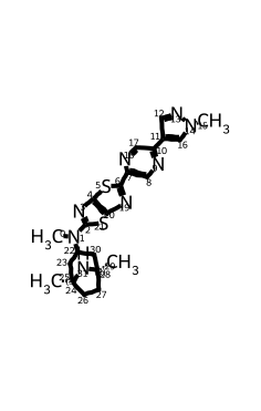 CN(c1nc2sc(-c3cnc(-c4cnn(C)c4)cn3)nc2s1)C1C[C@]2(C)CC[C@](C)(C1)N2